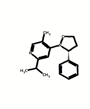 Cc1cnc(C(C)C)cc1N1OCC[C@@H]1c1ccccc1